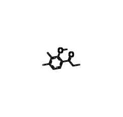 CCC(=O)c1ccc(C)c(C)c1OC